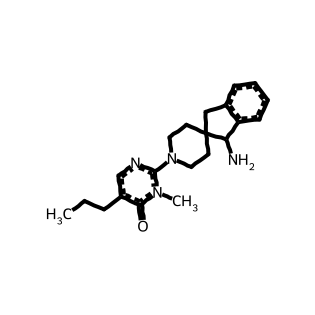 CCCc1cnc(N2CCC3(CC2)Cc2ccccc2C3N)n(C)c1=O